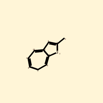 Cc1cc2c(s1)=CCC=CC=2